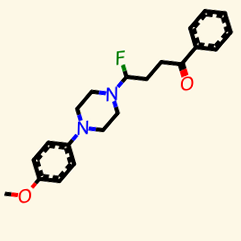 COc1ccc(N2CCN(C(F)CCC(=O)c3ccccc3)CC2)cc1